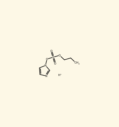 CCCOS(=O)(=O)On1ccnc1.[H+]